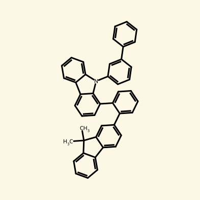 CC1(C)c2ccccc2-c2ccc(-c3ccccc3-c3cccc4c5ccccc5n(-c5cccc(-c6ccccc6)c5)c34)cc21